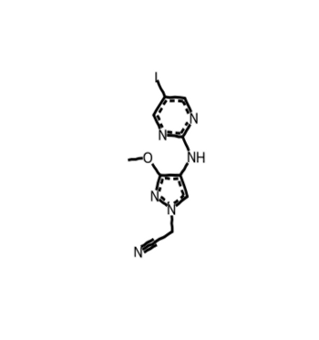 COc1nn(CC#N)cc1Nc1ncc(I)cn1